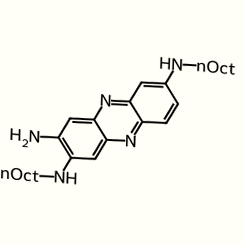 CCCCCCCCNc1ccc2nc3cc(NCCCCCCCC)c(N)cc3nc2c1